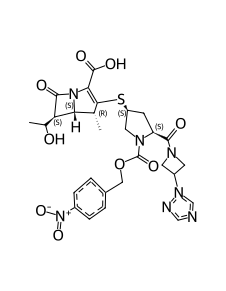 CC(O)[C@H]1C(=O)N2C(C(=O)O)=C(S[C@H]3C[C@@H](C(=O)N4CC(n5cncn5)C4)N(C(=O)OCc4ccc([N+](=O)[O-])cc4)C3)[C@H](C)[C@H]12